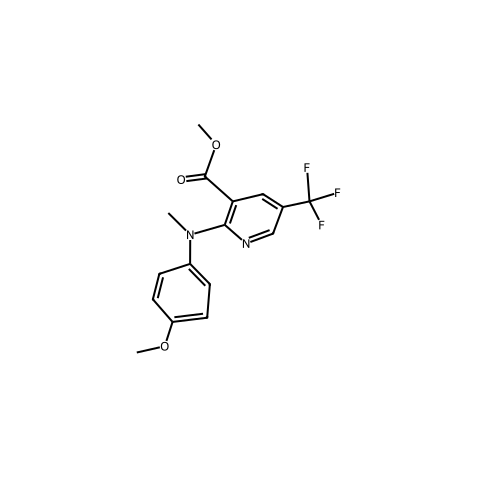 COC(=O)c1cc(C(F)(F)F)cnc1N(C)c1ccc(OC)cc1